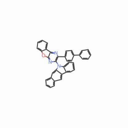 c1ccc(-c2ccc(-c3nc4c(nc3-n3c5ccccc5c5cc6ccccc6cc53)oc3ccccc34)cc2)cc1